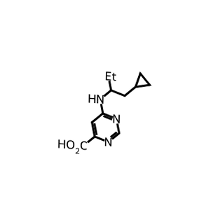 CCC(CC1CC1)Nc1cc(C(=O)O)ncn1